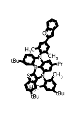 Cc1cc(-c2cc3ccccc3o2)cc(C)c1N1c2ccc(C(C)(C)C)cc2B2c3sc4ccc(C(C)(C)C)cc4c3N(c3c(C)cc(C(C)(C)C)cc3C)c3cc(C(C)C)cc1c32